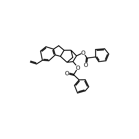 C=Cc1ccc2c(c1)C1C(C2)C2CC1C(OC(=O)c1ccccc1)C2OC(=O)c1ccccc1